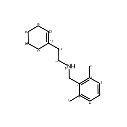 Cc1cccc(C)c1CNCCC1=CCCCC1